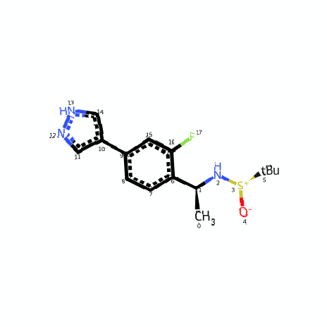 C[C@H](N[S@+]([O-])C(C)(C)C)c1ccc(-c2cn[nH]c2)cc1F